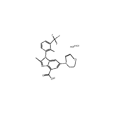 Cc1c(-n2c(C)nc3c(C(=O)O)cc(N4CCOCC4)cc32)cccc1C(F)(F)F.Cl.Cl